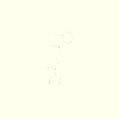 Cc1ccccc1C(=O)CCCN1CCc2ccccc21